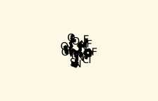 COC(=O)CCN1C(=O)OC[C@@]12CC1=C(c3ccn(C(F)F)n3)[C@H](c3ccc(F)cc3Cl)N=C(c3nccs3)N1C2